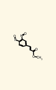 COC(=O)/C=C/c1ccc(N=O)c(N=O)c1